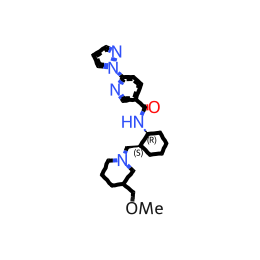 COCC1CCCN(C[C@@H]2CCCC[C@H]2NC(=O)c2ccc(-n3cccn3)nc2)C1